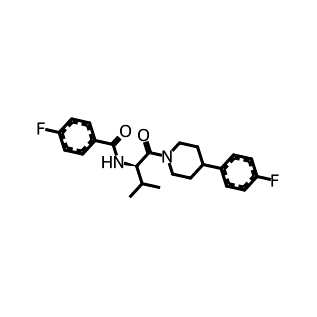 CC(C)[C@@H](NC(=O)c1ccc(F)cc1)C(=O)N1CCC(c2ccc(F)cc2)CC1